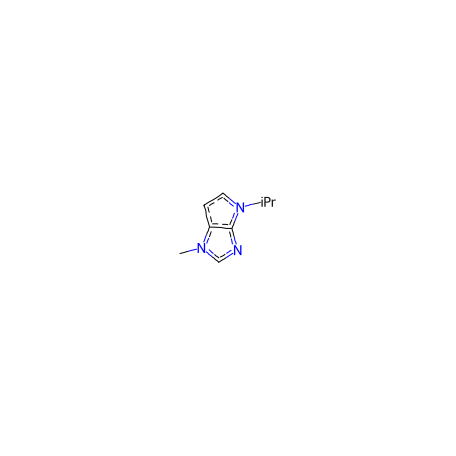 CC(C)n1ccc2c1ncn2C